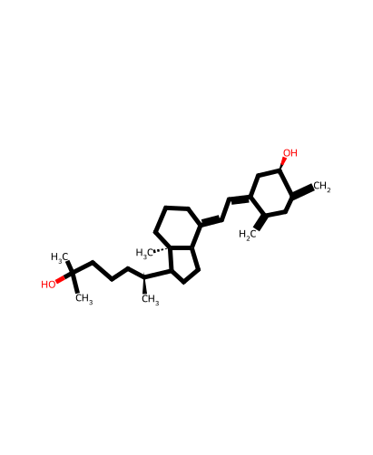 C=C1CC(=C)[C@H](O)C/C1=C/C=C1\CCC[C@@]2(C)C1CCC2[C@@H](C)CCCC(C)(C)O